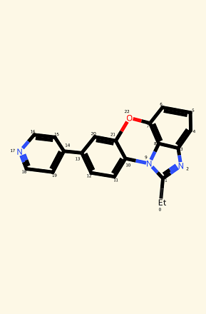 CCc1nc2cccc3c2n1-c1ccc(-c2ccncc2)cc1O3